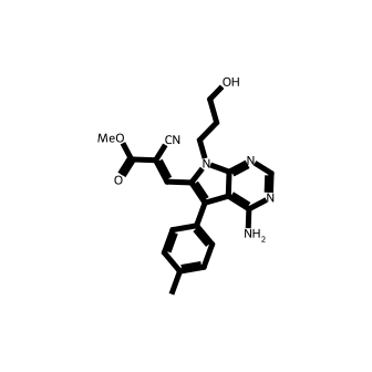 COC(=O)C(C#N)=Cc1c(-c2ccc(C)cc2)c2c(N)ncnc2n1CCCO